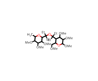 CCC(CC)(OC(CC)(CC)C1C(COC)OC(OC)C(OC)C1OC)C1OC(C)C(OC)C(OC)C1OC